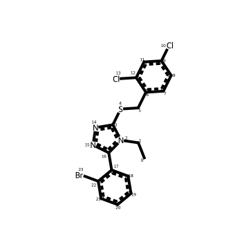 CCn1c(SCc2ccc(Cl)cc2Cl)nnc1-c1ccccc1Br